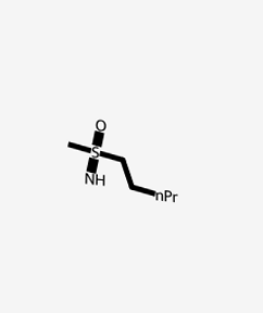 CCCCCS(C)(=N)=O